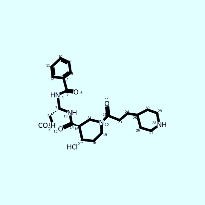 Cl.O=C(O)C[C@H](NC(=O)c1ccccc1)NC(=O)[C@@H]1CCCN(C(=O)CCC2CCNCC2)C1